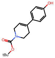 CC(C)(C)OC(=O)N1CC=C(c2ccc(O)cc2)CC1